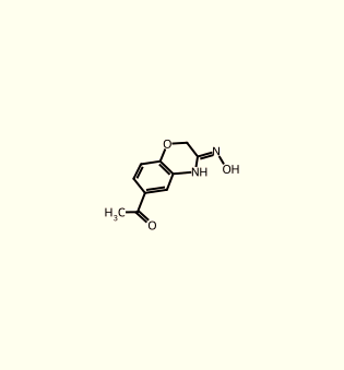 CC(=O)c1ccc2c(c1)NC(=NO)CO2